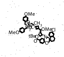 COc1ccc(CN(Cc2ccc(OC)cc2)S(=O)(=O)CC(C)(C)[C@H]2C=C([C@H](OC)[C@@H]3CC[C@H]3CN3C[C@@]4(CCCc5cc(Cl)ccc54)COc4ccc(C(=O)OC(C)(C)C)cc43)C2)cc1